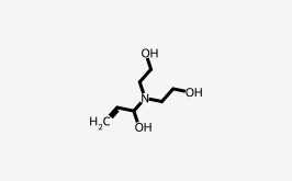 C=CC(O)N(CCO)CCO